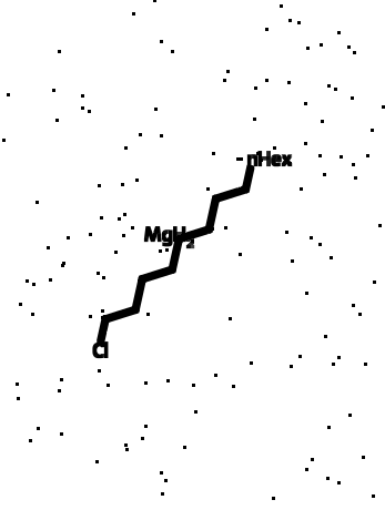 CCCCCCCCCCCCCCCl.[MgH2]